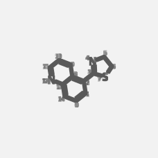 c1cc(C2=NCCS2)c2cccnc2c1